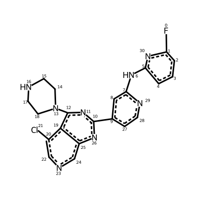 Fc1cccc(Nc2cc(-c3nc(N4CCNCC4)c4c(Cl)cncc4n3)ccn2)n1